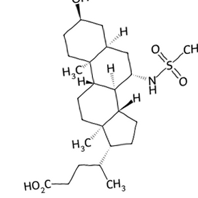 CC(CCC(=O)O)[C@H]1CC[C@H]2[C@@H]3[C@@H](NS(C)(=O)=O)C[C@@H]4C[C@H](O)CC[C@]4(C)[C@H]3CC[C@]12C